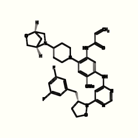 C=CC(=O)Nc1cc(Nc2cc(N3OCC[C@@H]3Cc3cc(F)cc(F)c3)ncn2)c(OC)cc1N1CCC(N2C[C@H]3C[C@@H]2CO3)CC1